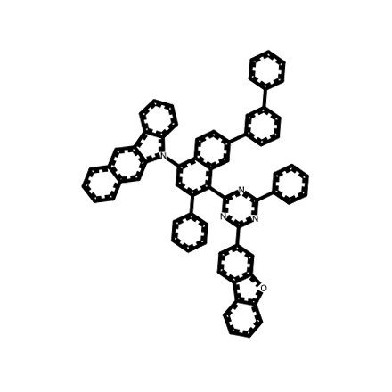 c1ccc(-c2cccc(-c3ccc4c(-n5c6ccccc6c6cc7ccccc7cc65)cc(-c5ccccc5)c(-c5nc(-c6ccccc6)nc(-c6ccc7c(c6)oc6ccccc67)n5)c4c3)c2)cc1